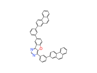 c1cc(-c2ccc3c(ccc4ccccc43)c2)cc(-c2ccc3oc4c(-c5cccc(-c6ccc7c(ccc8ccccc87)c6)c5)ncnc4c3c2)c1